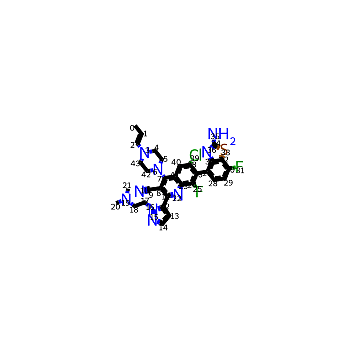 CC=CN1CCN(c2c(C#N)c(-c3ccnn3CCN(C)C)nc3c(F)c(-c4ccc(F)c5sc(N)nc45)c(Cl)cc23)CC1